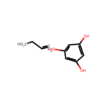 C=CCC(=O)O.Oc1cc(O)cc(O)c1